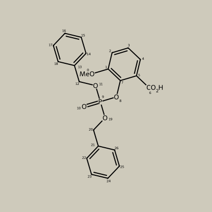 COc1cccc(C(=O)O)c1OP(=O)(OCc1ccccc1)OCc1ccccc1